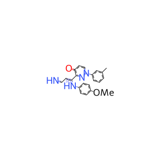 COc1ccc(N/C(=C\C=N)c2nn(-c3cccc(C)c3)ccc2=O)cc1